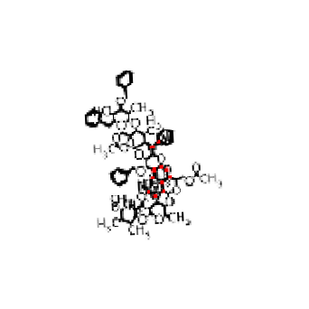 CO[C@@H]1OC(COC(C)=O)[C@@H](O[C@@H]2OC(C)C(O[C@@H]3OC(COC(C)=O)[C@@H](O[C@@H]4OC(Cc5ccccc5)[C@H](O[C@@H]5OC(COC(C)=O)[C@@H](O[C@@H]6OC(Cc7ccccc7)[C@@H](O)[C@@H](OCc7ccccc7)C6C)[C@H](C)C5N=[N+]=[N-])[C@@H](OCc5ccccc5)C4C)[C@H](C)C3N=[N+]=[N-])[C@@H](OCc3ccccc3)C2C)[C@H](C)C1C